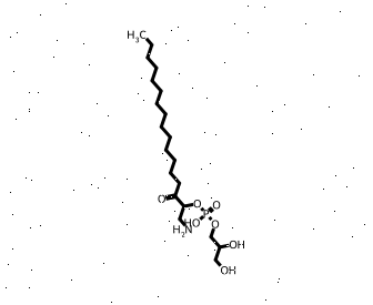 CCCCCCCCCCCCCCC(=O)C(CN)OP(=O)(O)OCC(O)CO